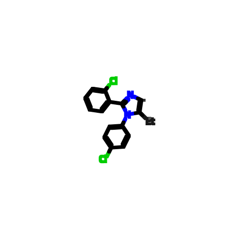 CCc1[c]nc(-c2ccccc2Cl)n1-c1ccc(Cl)cc1